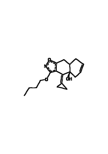 CCCCOc1noc2c1C(=C1CC1)[C@@]1(O)CC=CCC1C2